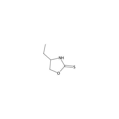 CCC1COC(=S)N1